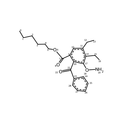 CCCCCCOC(=O)c1cc(CC)c(CC)c(ON)c1C(=O)c1ccccc1